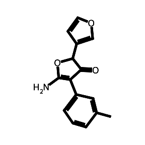 Cc1cccc(C2=C(N)OC(c3ccoc3)C2=O)c1